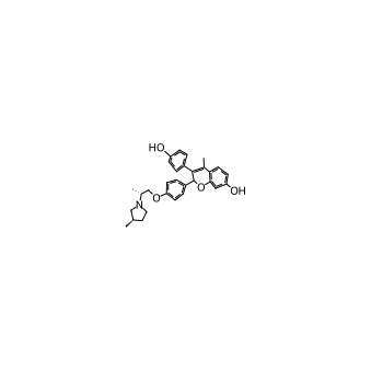 CC1=C(c2ccc(O)cc2)C(c2ccc(OC[C@@H](C)N3CC[C@@H](C)C3)cc2)Oc2cc(O)ccc21